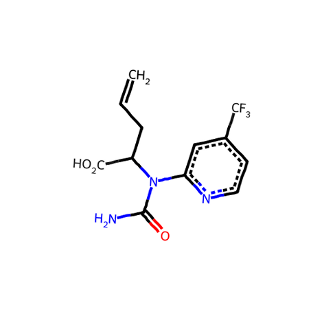 C=CCC(C(=O)O)N(C(N)=O)c1cc(C(F)(F)F)ccn1